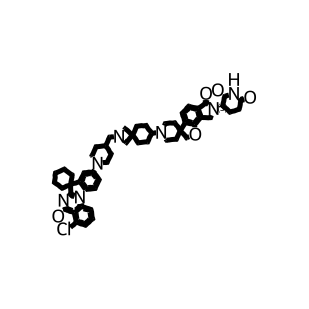 O=C1CC[C@H](N2Cc3c(ccc4c3OCC43CCN(C4CCC5(CC4)CN(CC4CCN(c6ccc7c(c6)C6(CCCCC6)c6nc(=O)c8c(Cl)cccc8n6-7)CC4)C5)CC3)C2=O)C(=O)N1